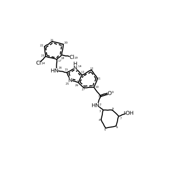 O=C(NC1CCCC(O)C1)c1ccc2[nH]c(Nc3c(Cl)cccc3Cl)nc2c1